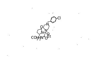 CCOC(C(N)=O)(N1CCN(Cc2ccc(Cl)cc2)CC1)N1C(=O)CC[C@@H]1C(=O)O